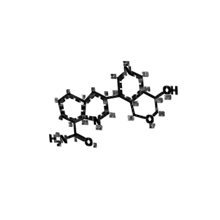 NC(=O)c1cccc2cc(-c3cncc4c3COCC4O)cnc12